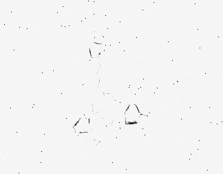 COc1nccc(NC(CCN(CCCCc2ccc3c(n2)NCCC3)CCOc2cc(F)cc(F)c2)C(=O)O)n1